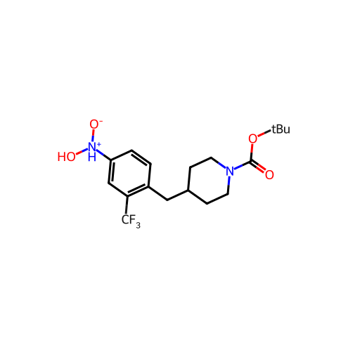 CC(C)(C)OC(=O)N1CCC(Cc2ccc([NH+]([O-])O)cc2C(F)(F)F)CC1